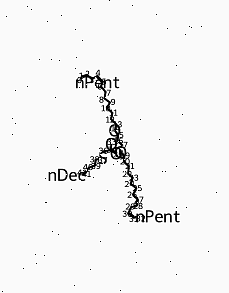 CCCCC/C=C\C/C=C\CCCCCCCCOCC(COCCCCCCCC/C=C\C/C=C\CCCCC)OC(=O)CSCCCCCCCCCCCCCC